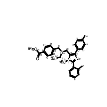 CCCCn1c(-c2ccccc2C)nc(-c2ccc(C)cc2)c1CN(Cc1ccc(C(=O)OC)cc1)CC(C)(C)C